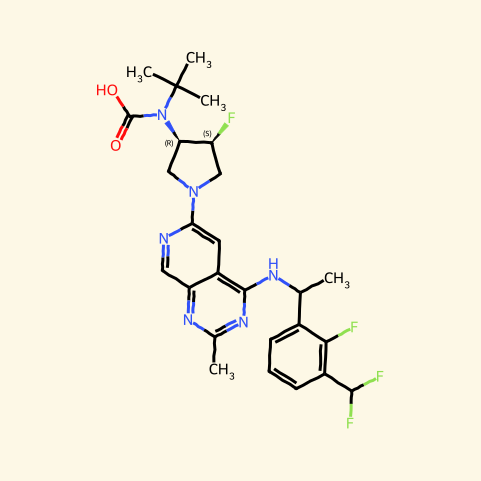 Cc1nc(NC(C)c2cccc(C(F)F)c2F)c2cc(N3C[C@@H](N(C(=O)O)C(C)(C)C)[C@@H](F)C3)ncc2n1